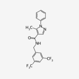 Cc1c(C(=O)NCc2cc(C(F)(F)F)cc(C(F)(F)F)c2)cnn1-c1ccccc1